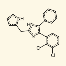 Clc1cccc(-c2nc(Cc3ccc[nH]3)[nH]c2-c2ccccc2)c1Cl